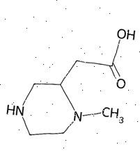 CN1CCNCC1CC(=O)O